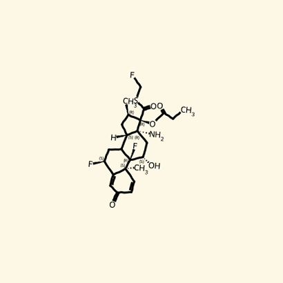 CCC(=O)O[C@]1(C(=O)SCF)[C@H](C)C[C@H]2C3C[C@H](F)C4=CC(=O)C=C[C@]4(C)[C@@]3(F)[C@@H](O)C[C@@]21N